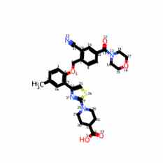 Cc1ccc(OCc2ccc(C(=O)N3CCOCC3)cc2C#N)c(-c2csc(N3CCC(C(=O)O)CC3)n2)c1